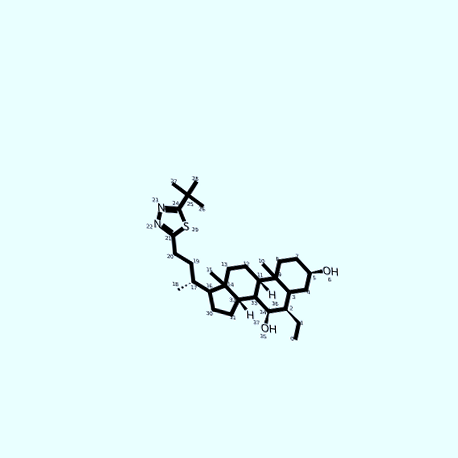 CC[C@@H]1C2C[C@H](O)CCC2(C)[C@H]2CCC3(C)C([C@H](C)CCc4nnc(C(C)(C)C)s4)CC[C@H]3C2[C@@H]1O